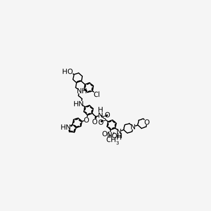 C[N+]([O-])(O)c1cc(S(=O)(=O)NC(=O)c2ccc(NCCNCC3=C(c4ccc(Cl)cc4)CCC(O)C3)cc2Oc2ccc3[nH]ccc3c2)ccc1NC1CCN(C2CCOCC2)CC1